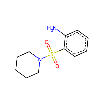 Nc1ccccc1S(=O)(=O)N1CCCCC1